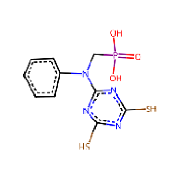 O=P(O)(O)CN(c1ccccc1)c1nc(S)nc(S)n1